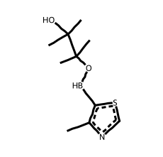 Cc1ncsc1BOC(C)(C)C(C)(C)O